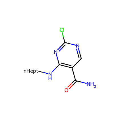 CCCCCCCNc1nc(Cl)ncc1C(N)=O